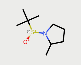 CC1CCCN1[S@@+]([O-])C(C)(C)C